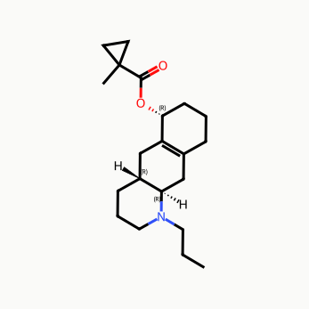 CCCN1CCC[C@@H]2CC3=C(CCC[C@H]3OC(=O)C3(C)CC3)C[C@H]21